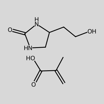 C=C(C)C(=O)O.O=C1NCC(CCO)N1